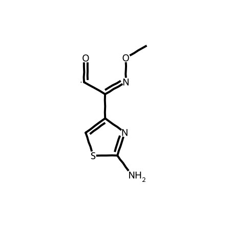 CO/N=C(\[C]=O)c1csc(N)n1